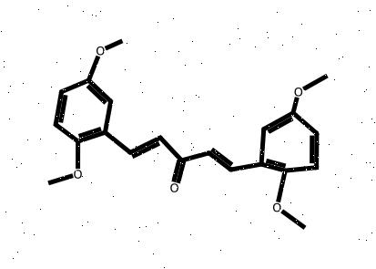 COc1ccc(OC)c(C=CC(=O)C=Cc2cc(OC)ccc2OC)c1